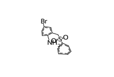 Nc1ccc(Br)cc1CS(=O)(=O)c1ccccc1